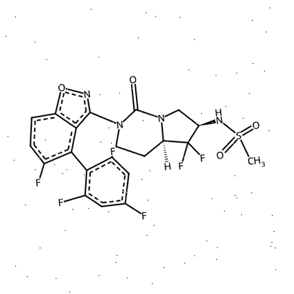 CS(=O)(=O)N[C@@H]1CN2C(=O)N(c3noc4ccc(F)c(-c5c(F)cc(F)cc5F)c34)CC[C@@H]2C1(F)F